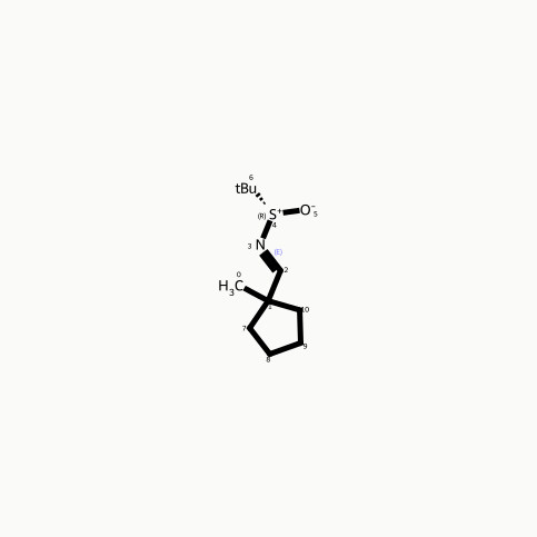 CC1(/C=N/[S@@+]([O-])C(C)(C)C)CCCC1